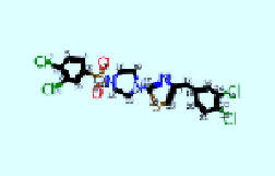 O=S(=O)(c1ccc(Cl)c(Cl)c1)N1CCN(c2nc(Cc3ccc(Cl)c(Cl)c3)cs2)CC1